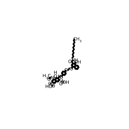 CCCCCCCCCCCCNC(=O)c1cc(OCCOc2ccc(N=Nc3c(OS(=O)O)cc4cc(S(=O)(=O)O)cc(NC(C)=O)c4c3O)cc2)c2ccccc2c1O